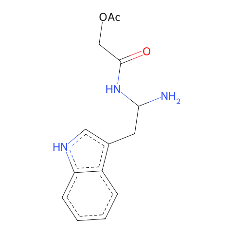 CC(=O)OCC(=O)NC(N)Cc1c[nH]c2ccccc12